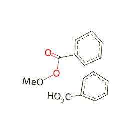 COOC(=O)c1ccccc1.O=C(O)c1ccccc1